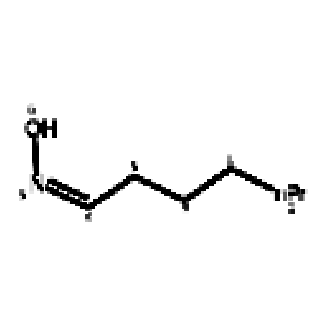 CCCCCC/C=N\O